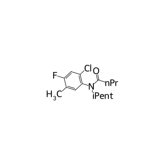 CCCC(=O)N(c1cc(C)c(F)cc1Cl)C(C)CCC